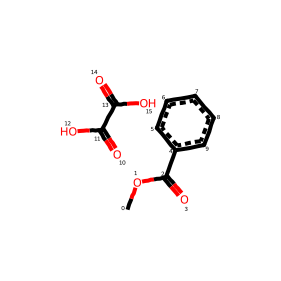 COC(=O)c1ccccc1.O=C(O)C(=O)O